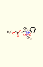 COCC(=O)OC[C@H](C)NP(C)(=O)Oc1ccccc1